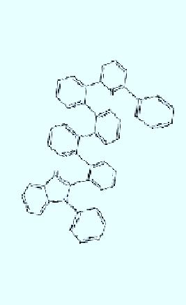 c1ccc(-c2cccc(-c3ccccc3-c3ccccc3-c3ccccc3-c3ccccc3-c3nc4ccccc4n3-c3ccccc3)n2)cc1